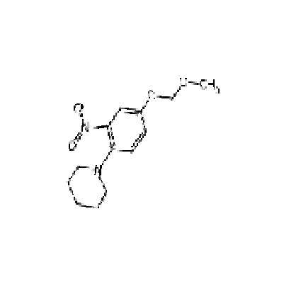 COCOc1ccc(N2CCCCC2)c([N+](=O)[O-])c1